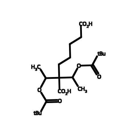 CC(OC(=O)C(C)(C)C)C(CCCCC(=O)O)(C(=O)O)C(C)OC(=O)C(C)(C)C